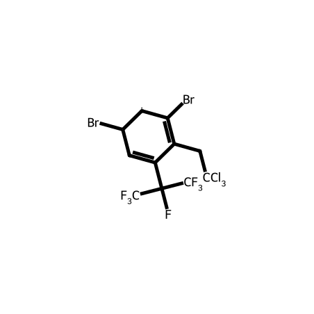 FC(F)(F)C(F)(C1=CC(Br)[CH]C(Br)=C1CC(Cl)(Cl)Cl)C(F)(F)F